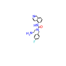 NCCN(Cc1ccc(F)cc1)C(=O)Nc1cccc2cnccc12